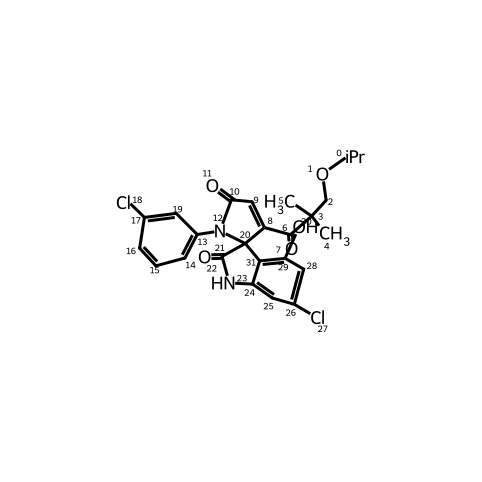 CC(C)OCC(C)(C)C(=O)C1=CC(=O)N(c2cccc(Cl)c2)C12C(=O)Nc1cc(Cl)cc(O)c12